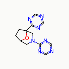 c1ncnc(N2CC3CCC(c4ncncn4)(C2)O3)n1